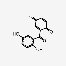 O=C1C=CC(=O)C(C(=O)c2cc(O)ccc2O)=C1